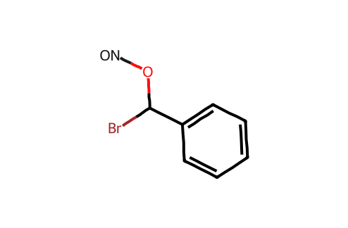 O=NOC(Br)c1ccccc1